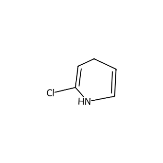 ClC1=CCC=CN1